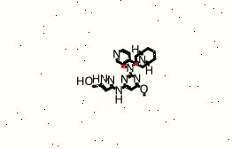 COc1cc(Nc2cc(CO)[nH]n2)nc(N(C)[C@@H]2C[C@H]3CCC[C@@H](C2)N3Cc2ccncc2)n1